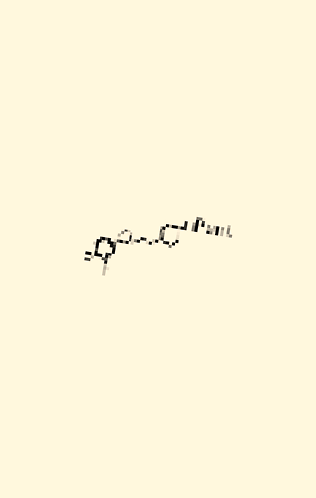 CCCCCC1CCC(CCCOc2ccc(F)c(F)c2)CC1